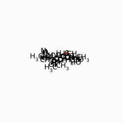 CC(C)C1=C2[C@H]3CC[C@@H]4[C@@]5(C)CC[C@H](OC(=O)CC(C)(C)C(=O)O)C(C)(C)[C@@H]5CC[C@@]4(C)[C@]3(C)CC[C@@]2([C@@H](O)CN(CCN(C)C)Cc2ccncn2)CC1=O